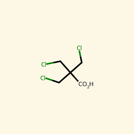 O=C(O)C(CCl)(CCl)CCl